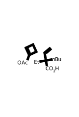 C=CC(CC)(CCCC)C(=O)O.CC(=O)OC1=CCC1